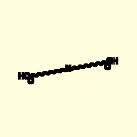 O=C(O)CCCCCCCCCCCC[N]CCCCCCCCCCCCC(=O)O